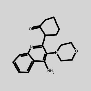 Nc1c(N2CCOCC2)c(C2CCCCC2=O)nc2ccccc12